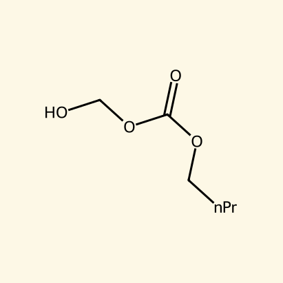 CCCCOC(=O)OCO